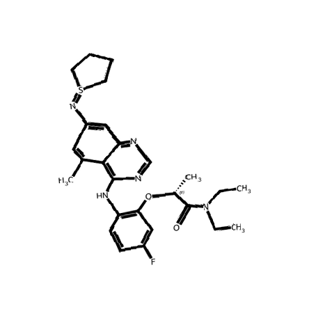 CCN(CC)C(=O)[C@@H](C)Oc1cc(F)ccc1Nc1ncnc2cc(N=S3CCCC3)cc(C)c12